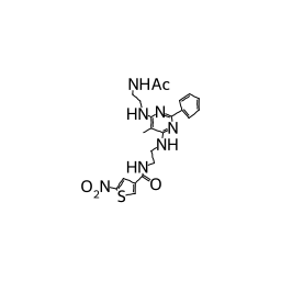 CC(=O)NCCNc1nc(-c2ccccc2)nc(NCCNC(=O)c2csc([N+](=O)[O-])c2)c1C